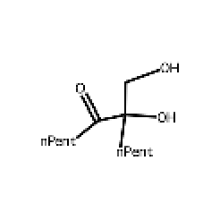 CCCCCC(=O)C(O)(CO)CCCCC